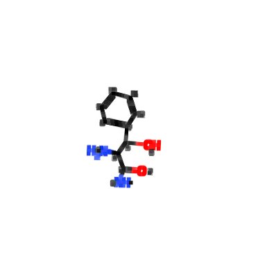 [NH]C(=O)[C@@H](N)C(O)c1ccccc1